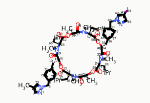 Cc1cnn(Cc2ccc(C[C@H]3OC(=O)[C@H](CC(C)C)N(C)C(=O)[C@@H](C)OC(=O)[C@H](CC(C)C)N(C)C(=O)[C@@H](Cc4ccc(Cn5cc(I)cn5)cc4)OC(=O)[C@H](CC(C)C)N(C)C(=O)[C@@H](C)OC(=O)[C@H](CC(C)C)N(C)C3=O)cc2)c1